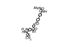 CCN(C(=O)[C@@H]1CCN(CC(=O)N2CC=C(c3ccc(C(=N)OC(=O)NC)cc3)CC2)C1)c1ccc(N)c(C(=N)c2cnc(C)s2)c1